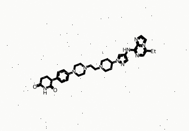 CCc1cnc(Nc2cnn(C3CCN(CCN4CCN(c5ccc(C6CCC(=O)NC6=O)cc5)CC4)CC3)c2)c2nccn12